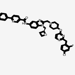 O=C(Nc1ccc2c(c1)nc(CN1CCC(Oc3ccnc(Cc4ccc(Cl)cc4F)n3)CC1)n2C[C@@H]1CCO1)c1ccc(-c2ccccc2)nc1